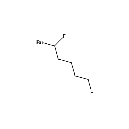 CCC(C)C(F)CCCCF